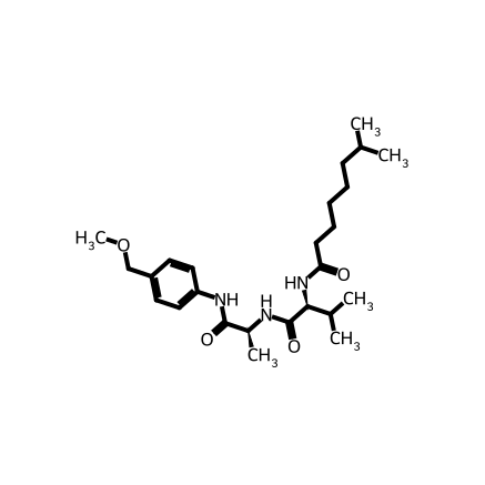 COCc1ccc(NC(=O)[C@H](C)NC(=O)[C@@H](NC(=O)CCCCCC(C)C)C(C)C)cc1